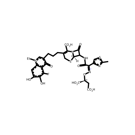 CCn1cc(CCCC2=C(C(=O)O)N3C(=O)C(NC(=O)/C(=N\O[C@@H](CC(=O)O)C(=O)O)c4csc(C)n4)[C@H]3SC2)c(=O)c2c(F)c(O)c(O)cc21